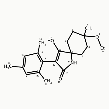 CCOC1(C)CCC2(CC1)NC(=O)C(c1c(C)cc(C)cc1C)=C2O